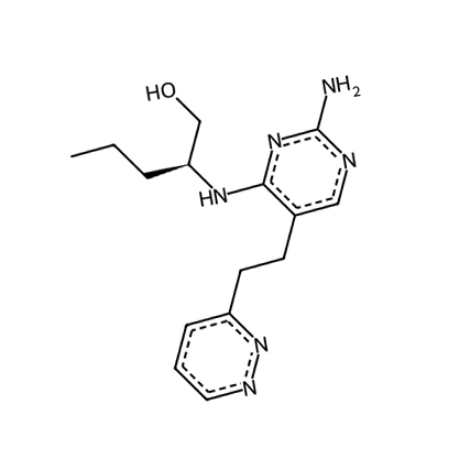 CCC[C@@H](CO)Nc1nc(N)ncc1CCc1cccnn1